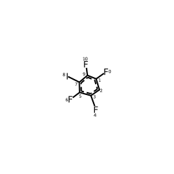 Fc1cc(F)c(F)c(I)c1F